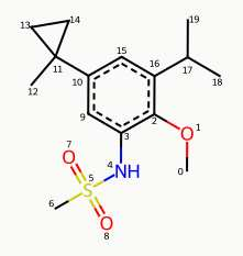 COc1c(NS(C)(=O)=O)cc(C2(C)CC2)cc1C(C)C